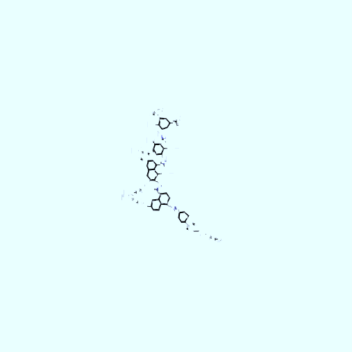 O=[N+]([O-])c1cc(/N=N/c2c(O)ccc(/N=N\c3cc(S(=O)(=O)O)cc4cc(SOOO)c(/N=N/c5ccc(/N=N/c6ccc(S(=O)(=O)CCOSOOO)cc6)c6ccc(SOOO)cc56)c(O)c34)c2O)c(O)c([N+](=O)[O-])c1